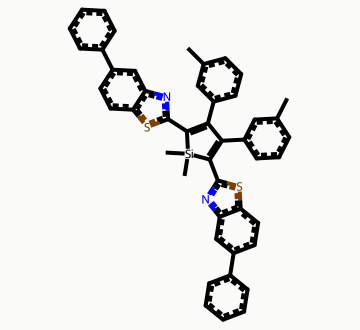 Cc1cccc(C2=C(c3nc4cc(-c5ccccc5)ccc4s3)[Si](C)(C)C(c3nc4cc(-c5ccccc5)ccc4s3)=C2c2cccc(C)c2)c1